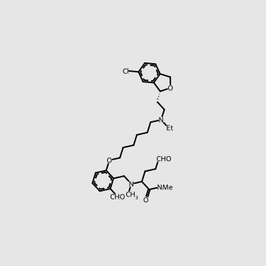 CCN(CCCCCCOc1cccc(C=O)c1CN(C)C(CCC=O)C(=O)NC)CC[C@H]1OCc2ccc(Cl)cc21